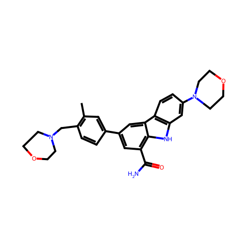 Cc1cc(-c2cc(C(N)=O)c3[nH]c4cc(N5CCOCC5)ccc4c3c2)ccc1CN1CCOCC1